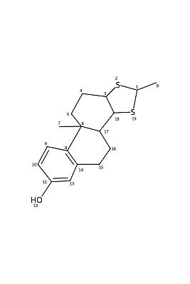 CC1SC2CCC3(C)c4ccc(O)cc4CCC3C2S1